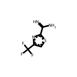 N=C(N)c1nc(C(F)(F)F)cs1